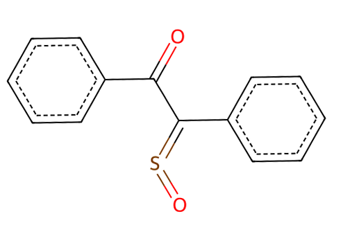 O=S=C(C(=O)c1ccccc1)c1ccccc1